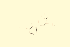 CCCOC(=O)C(C#N)=CNc1cccc(C(=O)OCC)c1Cl